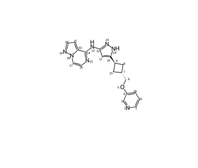 c1cncc(OC[C@H]2C[C@H](c3cc(Nc4nccn5nccc45)n[nH]3)C2)c1